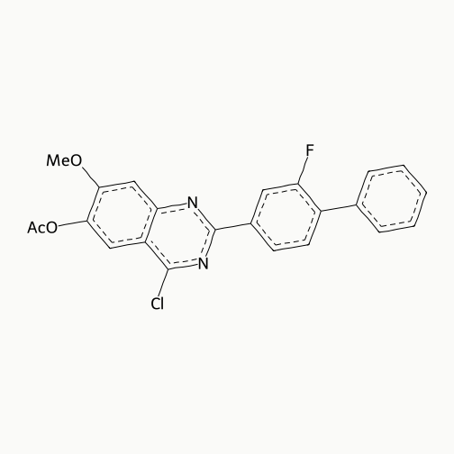 COc1cc2nc(-c3ccc(-c4ccccc4)c(F)c3)nc(Cl)c2cc1OC(C)=O